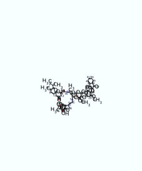 CCC(C)[C@H]1O[C@]2(C=C[C@@H]1C)C[C@@H]1C[C@@H](C/C=C(\C)[C@@H](O[C@H]3C[C@H](OC)[C@@H](O[C@H]4C[C@H](OC)[C@H](ON5C(=O)c6ccccc6C5=O)[C@H](C)O4)[C@H](C)O3)[C@@H](C)/C=C/C=C3\CO[C@@H]4[C@H](O)C(C)=C[C@@H](C(=O)O1)[C@]34O)O2